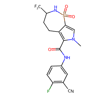 Cn1cc2c(c1C(=O)Nc1ccc(F)c(C#N)c1)CCC(C(F)(F)F)NS2(=O)=O